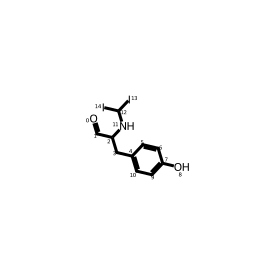 O=CC(Cc1ccc(O)cc1)NC(I)I